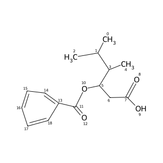 CC(C)C(C)C(CC(=O)O)OC(=O)c1ccccc1